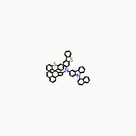 c1ccc2c(c1)Sc1ccccc1C21c2cc(N(c3ccc4c(c3)sc3ccccc34)c3ccc4c(c3)c3ccccc3n4-c3cccc4ccccc34)ccc2-c2cccc3cccc1c23